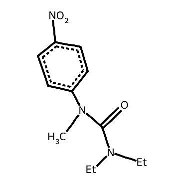 CCN(CC)C(=O)N(C)c1ccc([N+](=O)[O-])cc1